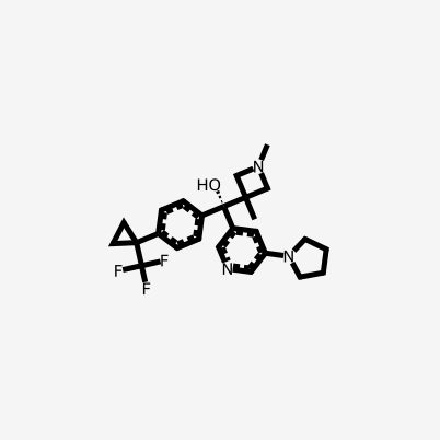 CN1CC(C)([C@](O)(c2ccc(C3(C(F)(F)F)CC3)cc2)c2cncc(N3CCCC3)c2)C1